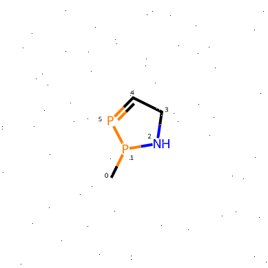 CP1NCC=P1